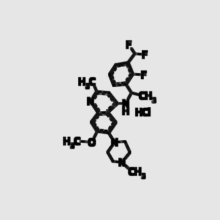 COc1cc2nc(C)cc(NC(C)c3cccc(C(F)F)c3F)c2cc1N1CCN(C)CC1.Cl